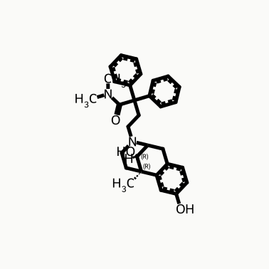 CN(C)C(=O)C(CCN1CC[C@]2(C)c3cc(O)ccc3CC1[C@@H]2O)(c1ccccc1)c1ccccc1